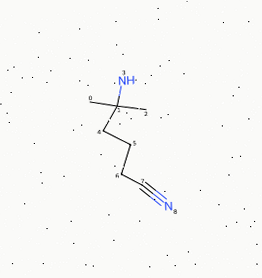 CC(C)([NH])CCCC#N